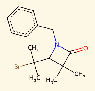 CC(C)(Br)C1N(Cc2ccccc2)C(=O)C1(C)C